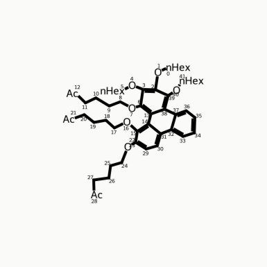 CCCCCCOc1c(OCCCCCC)c(OCCCCC(C)=O)c2c3c(OCCCCC(C)=O)c(OCCCCC(C)=O)ccc3c3ccccc3c2c1OCCCCCC